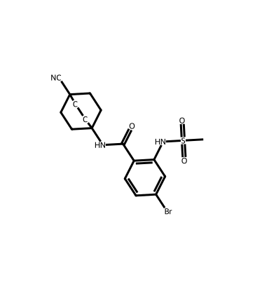 CS(=O)(=O)Nc1cc(Br)ccc1C(=O)NC12CCC(C#N)(CC1)CC2